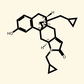 O=C1C=C2C[C@@]3(O)[C@H]4Cc5ccc(O)cc5[C@@]3(CCN4CC3CC3)C[C@@H]2N1CC1CC1